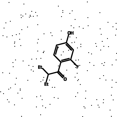 CCC(CC)C(=O)c1ccc(O)cc1F